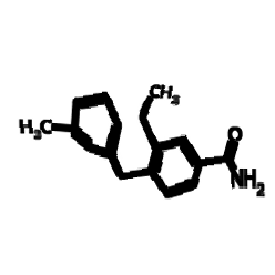 CCc1cc(C(N)=O)ccc1Cc1cccc(C)c1